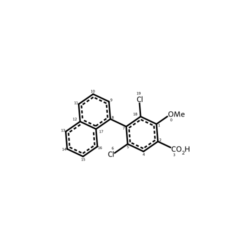 COc1c(C(=O)O)cc(Cl)c(-c2cccc3ccccc23)c1Cl